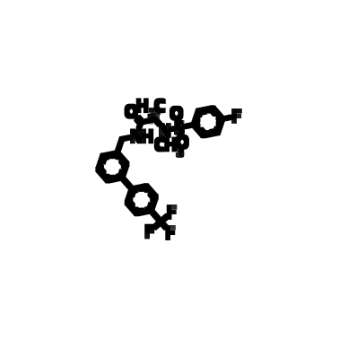 C[C@@H](C(=O)NCc1cccc(-c2ccc(C(F)(F)F)cc2)c1)N(C)S(=O)(=O)c1ccc(F)cc1